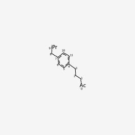 CC(=O)CCCc1ccc(CC(C)C)cc1